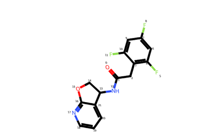 O=C(Cc1c(F)cc(F)cc1F)NC1COc2ncccc21